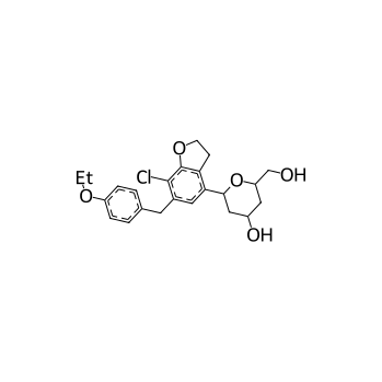 CCOc1ccc(Cc2cc(C3CC(O)CC(CO)O3)c3c(c2Cl)OCC3)cc1